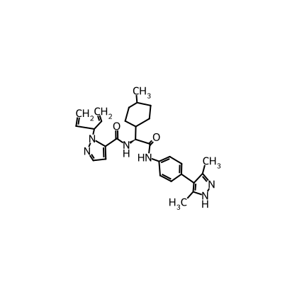 C=CC(C=C)n1nccc1C(=O)N[C@H](C(=O)Nc1ccc(-c2c(C)n[nH]c2C)cc1)C1CCC(C)CC1